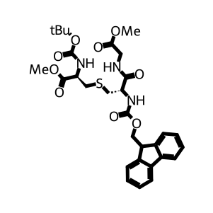 COC(=O)CNC(=O)[C@@H](CSC[C@H](NC(=O)OC(C)(C)C)C(=O)OC)NC(=O)OCC1c2ccccc2-c2ccccc21